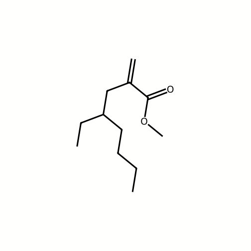 C=C(CC(CC)CCCC)C(=O)OC